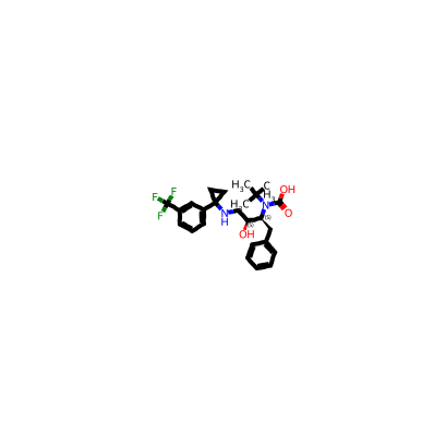 CC(C)(C)N(C(=O)O)[C@@H](Cc1ccccc1)[C@@H](O)CNC1(c2cccc(C(F)(F)F)c2)CC1